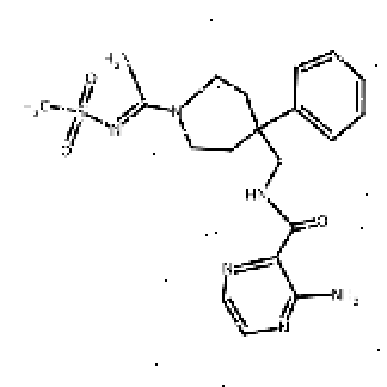 CS(=O)(=O)N=C(N)N1CCC(CNC(=O)c2nccnc2N)(c2ccccc2)CC1